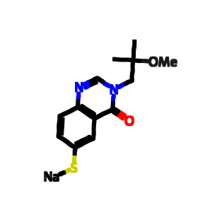 COC(C)(C)Cn1cnc2ccc([S][Na])cc2c1=O